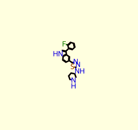 Fc1ccccc1-c1c[nH]c2ccc(-c3nnc(NC4CCCNC4)s3)cc12